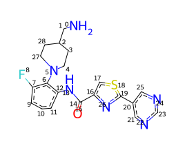 NCC1CCN(c2c(F)cccc2NC(=O)c2csc(-c3cncnc3)n2)CC1